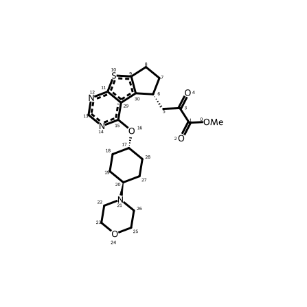 COC(=O)C(=O)C[C@H]1CCc2sc3ncnc(O[C@H]4CC[C@H](N5CCOCC5)CC4)c3c21